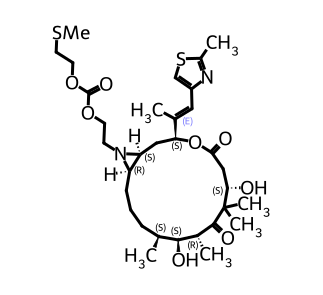 CSCCOC(=O)OCCN1[C@@H]2CCC[C@H](C)[C@H](O)[C@@H](C)C(=O)C(C)(C)[C@@H](O)CC(=O)O[C@H](/C(C)=C/c3csc(C)n3)C[C@@H]21